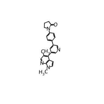 Cc1cnc2c(ccn2C)c1-c1cncc(-c2ccc(N3CCCC3=O)cc2)c1